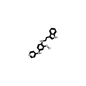 CCOc1cc(Nc2ccncc2)ccc1NCCc1c[nH]c2ccccc12